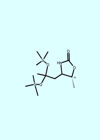 C[C@H]1OC(=O)NC1CC(C)(O[Si](C)(C)C)O[Si](C)(C)C